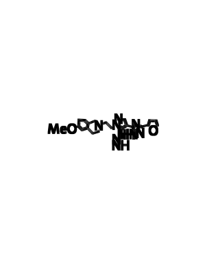 COc1ccc2c(c1)CCN(CCn1ncc(-c3nc(-c4ccco4)n[nH]3)c1NN=N)C2